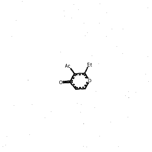 CCc1occc(=O)c1C(C)=O